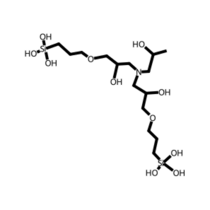 CC(O)CN(CC(O)COCCC[Si](O)(O)O)CC(O)COCCC[Si](O)(O)O